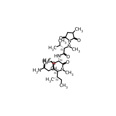 CC[C@H](C)[C@@H]([C@@H](CC(N)=O)OC)N(C)C(=O)[C@@H](NC(=O)[C@H](C(C)C)N(C)N1C(=O)CC(C)C1=O)C(C)C